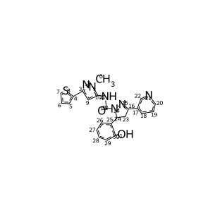 Cn1nc(-c2cccs2)cc1NC(=O)N1N=C(c2cccnc2)CC1c1ccccc1O